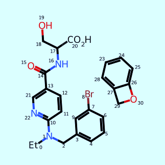 CCN(Cc1cccc(Br)c1)c1ccc(C(=O)NC(CO)C(=O)O)cn1.c1ccc2c(c1)CO2